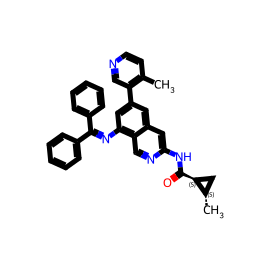 Cc1ccncc1-c1cc(N=C(c2ccccc2)c2ccccc2)c2cnc(NC(=O)[C@H]3C[C@@H]3C)cc2c1